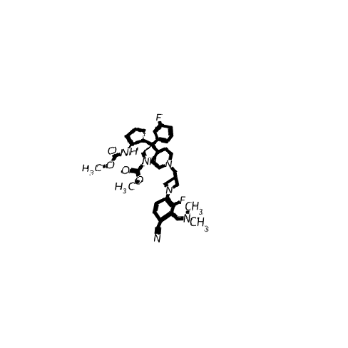 COC(=O)NC[C@@](c1cccc(F)c1)(C1CCN(CC2CN(c3ccc(C#N)c(CN(C)C)c3F)C2)CC1)[C@H]1CCC[C@@H]1NC(=O)OC